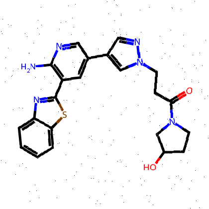 Nc1ncc(-c2cnn(CCC(=O)N3CCC(O)C3)c2)cc1-c1nc2ccccc2s1